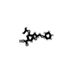 CC(C)Oc1cc(C(=O)O)cc2c1CC(COc1ccccc1)O2